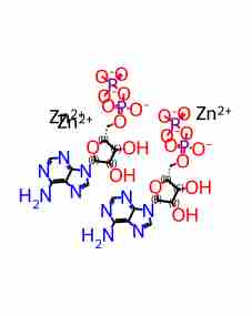 Nc1ncnc2c1ncn2[C@@H]1O[C@H](COP(=O)([O-])OP(=O)([O-])[O-])[C@@H](O)[C@H]1O.Nc1ncnc2c1ncn2[C@@H]1O[C@H](COP(=O)([O-])OP(=O)([O-])[O-])[C@@H](O)[C@H]1O.[Zn+2].[Zn+2].[Zn+2]